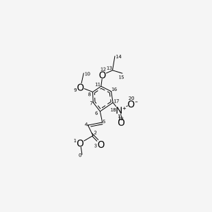 COC(=O)/C=C/c1cc(OC)c(OC(C)C)cc1[N+](=O)[O-]